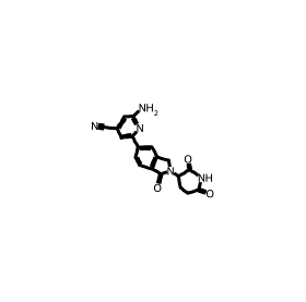 N#Cc1cc(N)nc(-c2ccc3c(c2)CN(C2CCC(=O)NC2=O)C3=O)c1